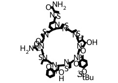 Cc1sc2nc1C(=O)N[C@@H]([C@H](O)c1ccccc1)c1nc(cs1)C(=O)N[C@@H](Cc1ccc(O[Si](C)(C)C(C)(C)C)cc1)C(=O)N1C[C@H](O)[C@H](C)[C@H]1c1nc(cs1)-c1nc(cs1)-c1nc(-c3nc(C(N)=O)cs3)ccc1-c1nc(cs1)C(=O)N[C@H]2CC(N)=O